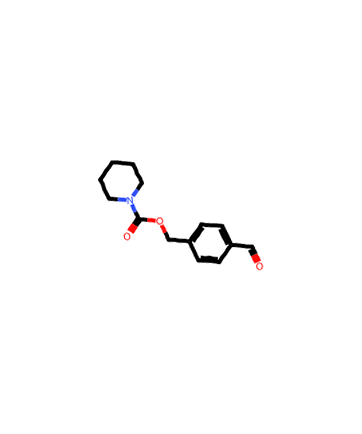 O=Cc1ccc(COC(=O)N2CCCCC2)cc1